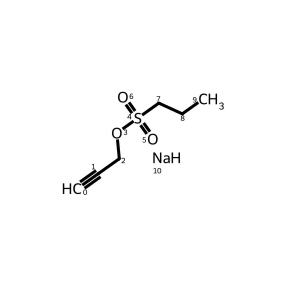 C#CCOS(=O)(=O)CCC.[NaH]